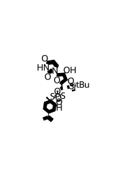 C=C(C)[C@@H]1CC[C@]2(C)S[P@@](=S)(OC[C@H]3O[C@@H](n4ccc(=O)[nH]c4=O)[C@H](O)[C@@H]3O[Si](C)(C)C(C)(C)C)O[C@H]2C1